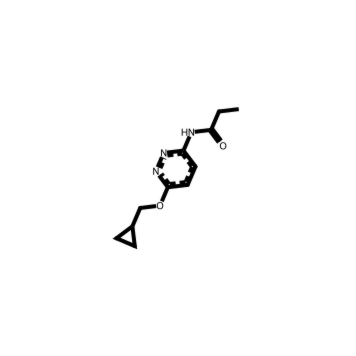 CCC(=O)Nc1ccc(OCC2CC2)nn1